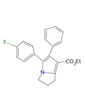 CCOC(=O)c1c(-c2ccccc2)c(-c2ccc(F)cc2)n2c1CCC2